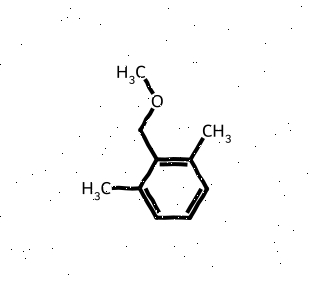 COCc1c(C)cccc1C